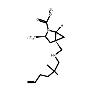 C=CCCC(C)(C)CNC[C@@]12C[C@@H](C(=O)OCC)N(C(=O)OC(C)(C)C)[C@@H]1C2